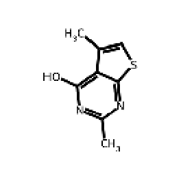 Cc1nc(O)c2c(C)csc2n1